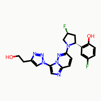 OCCc1cn(-c2cnc3ccc(N4C[C@@H](F)C[C@@H]4c4cc(F)ccc4O)nn23)nn1